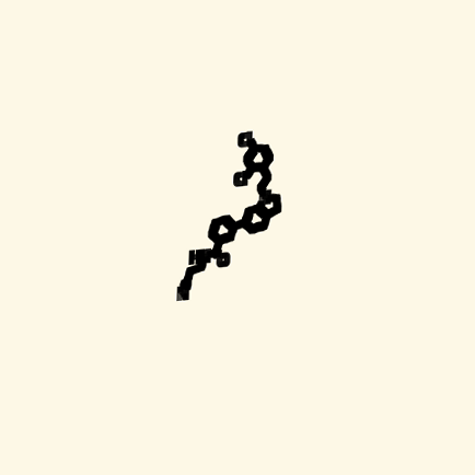 N#CCCNC(=O)c1cccc(-c2ccc3c(c2)N(CCc2ccc(Cl)cc2Cl)CC3)c1